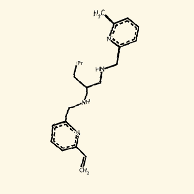 C=Cc1cccc(CNC(CNCc2cccc(C)n2)CC(C)C)n1